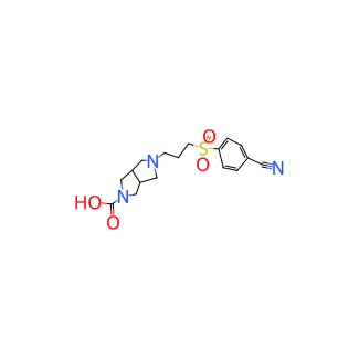 N#Cc1ccc(S(=O)(=O)CCCN2CC3CN(C(=O)O)CC3C2)cc1